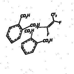 FC(F)=C(F)C(F)(F)F.O=C(O)c1ccccc1C(=O)O.O=C(O)c1ccccc1C(=O)O